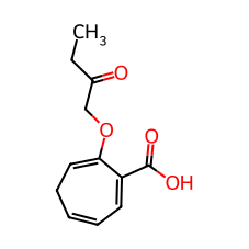 CCC(=O)COC1=CCC=CC=C1C(=O)O